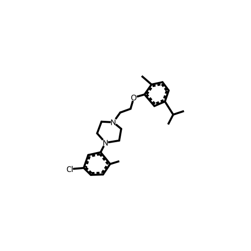 Cc1ccc(C(C)C)cc1OCCN1CCN(c2cc(Cl)ccc2C)CC1